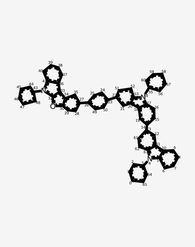 c1ccc(-n2c3ccccc3c3cc(-c4ccc5c(c4)c4cc(-c6ccc(-c7ccc8oc9c(c8c7)c7ccccc7n9-c7ccccc7)cc6)ccc4n5-c4ccccc4)ccc32)cc1